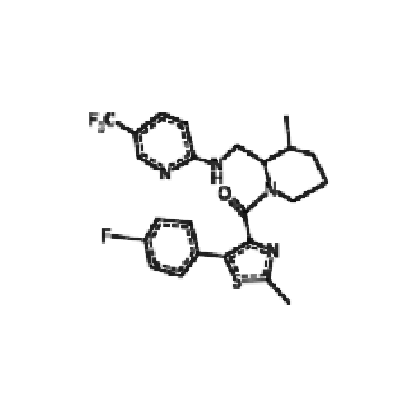 Cc1nc(C(=O)N2CCCC(C)C2CNc2ccc(C(F)(F)F)cn2)c(-c2ccc(F)cc2)s1